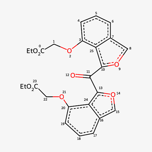 CCOC(=O)COc1cccc2coc(C(=O)c3occ4cccc(OCC(=O)OCC)c34)c12